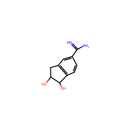 N=C(N)c1ccc2c(c1)CC(O)C2O